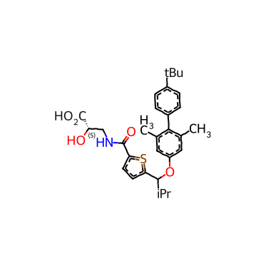 Cc1cc(OC(c2ccc(C(=O)NC[C@H](O)C(=O)O)s2)C(C)C)cc(C)c1-c1ccc(C(C)(C)C)cc1